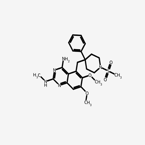 CNc1nc(N)c2c(CC3(c4ccccc4)CCN(S(C)(=O)=O)CC3)c(OC)c(OC)cc2n1